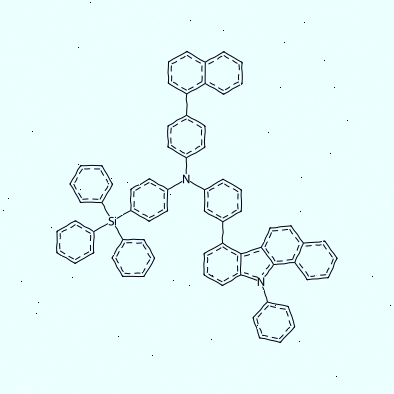 c1ccc(-n2c3cccc(-c4cccc(N(c5ccc(-c6cccc7ccccc67)cc5)c5ccc([Si](c6ccccc6)(c6ccccc6)c6ccccc6)cc5)c4)c3c3ccc4ccccc4c32)cc1